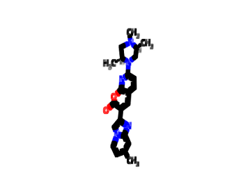 Cc1ccn2cc(-c3cc4ccc(N5C[C@H](C)N(C)C[C@H]5C)nc4oc3=O)nc2c1